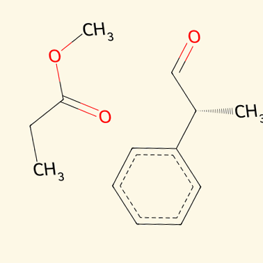 CCC(=O)OC.C[C@@H](C=O)c1ccccc1